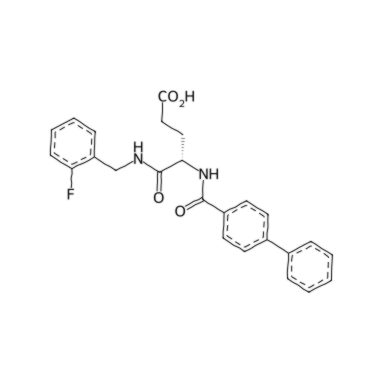 O=C(O)CC[C@H](NC(=O)c1ccc(-c2ccccc2)cc1)C(=O)NCc1ccccc1F